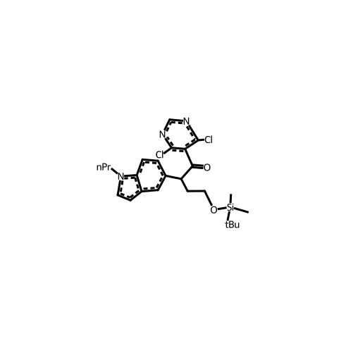 CCCn1ccc2cc(C(CCO[Si](C)(C)C(C)(C)C)C(=O)c3c(Cl)ncnc3Cl)ccc21